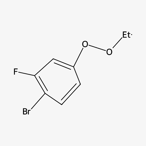 C[CH]OOc1ccc(Br)c(F)c1